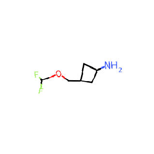 NC1CC(COC(F)F)C1